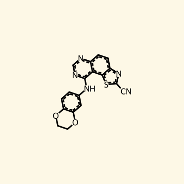 N#Cc1nc2ccc3ncnc(Nc4ccc5c(c4)OCCO5)c3c2s1